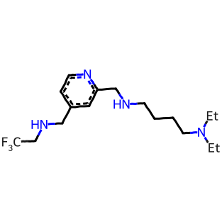 CCN(CC)CCCCNCc1cc(CNCC(F)(F)F)ccn1